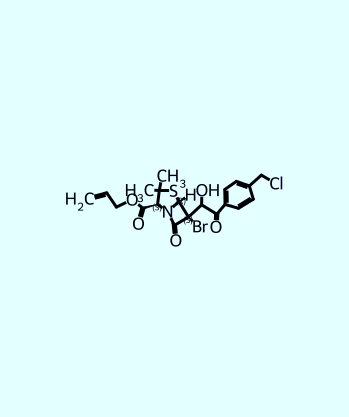 C=CCOC(=O)[C@@H]1N2C(=O)[C@@](Br)(C(O)C(=O)c3ccc(CCl)cc3)[C@H]2SC1(C)C